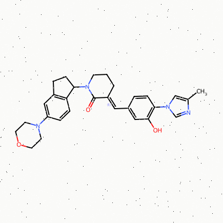 Cc1cn(-c2ccc(/C=C3\CCCN(C4CCc5cc(N6CCOCC6)ccc54)C3=O)cc2O)cn1